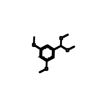 COc1[c]c(OC)cc(C(OC)OC)c1